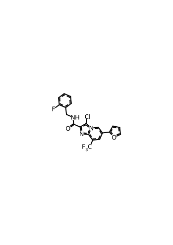 O=C(NCc1ccccc1F)c1nc2c(C(F)(F)F)cc(-c3ccco3)cn2c1Cl